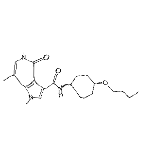 CCCCO[C@H]1CC[C@@H](NC(=O)c2cn(C)c3c(C)cn(C)c(=O)c23)CC1